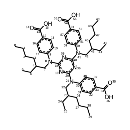 CCCCC(CC)CN(c1ccc(C(=O)O)cc1)c1nc(N(CC(CC)CCCC)c2ccc(C(=O)O)cc2)nc(N(CC(CC)CCCC)c2ccc(C(=O)O)cc2)n1